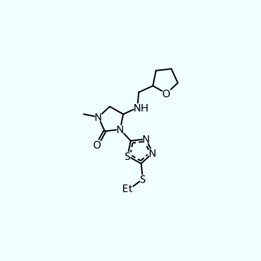 CCSc1nnc(N2C(=O)N(C)CC2NCC2CCCO2)s1